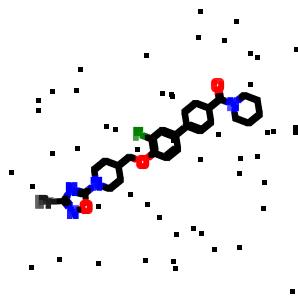 CC(C)c1noc(N2CCC(COc3ccc(C4=CCC(C(=O)N5CCCCC5)CC4)cc3F)CC2)n1